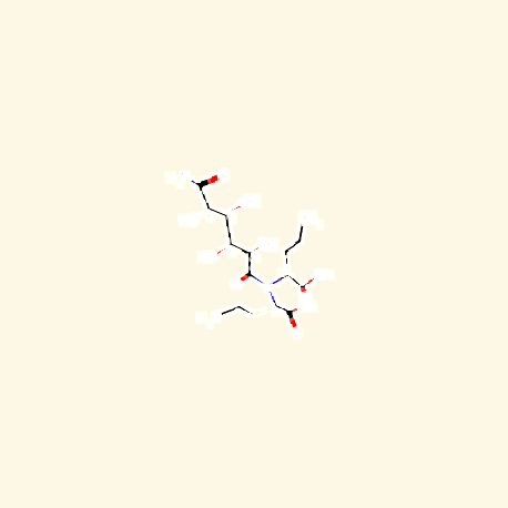 CCC[C@@H](C(=O)O)N(C(=O)[C@H](O)[C@@H](O)[C@H](O)[C@H](O)C(N)=O)[C@@H](CCC)C(=O)O